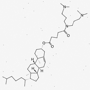 CC(C)CCCC(C)[C@H]1CC[C@H]2[C@@H]3CC=C4C[C@@H](OC(=O)CCCC(=O)N(CCCN(C)C)CCCN(C)C)CC[C@]4(C)[C@H]3CC[C@]12C